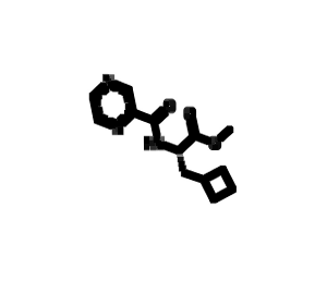 COC(=O)[C@H](CC1CCC1)NC(=O)c1cnccn1